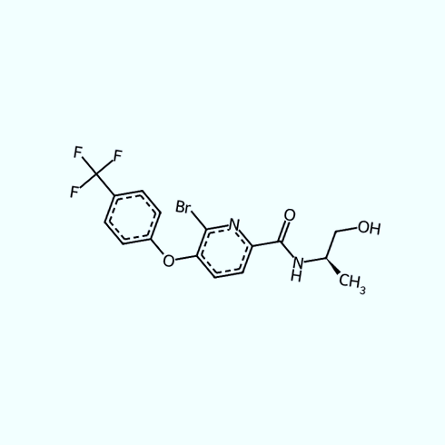 C[C@H](CO)NC(=O)c1ccc(Oc2ccc(C(F)(F)F)cc2)c(Br)n1